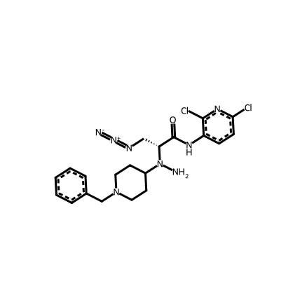 [N-]=[N+]=NC[C@H](C(=O)Nc1ccc(Cl)nc1Cl)N(N)C1CCN(Cc2ccccc2)CC1